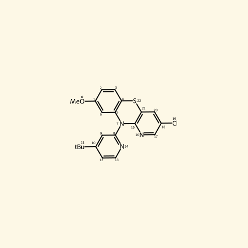 COc1ccc2c(c1)N(c1cc(C(C)(C)C)ccn1)c1ncc(Cl)cc1S2